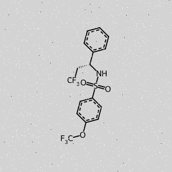 O=S(=O)(N[C@H](CC(F)(F)F)c1ccccc1)c1ccc(OC(F)(F)F)cc1